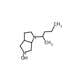 CCCC(C)N1CCC2CN(O)CC21